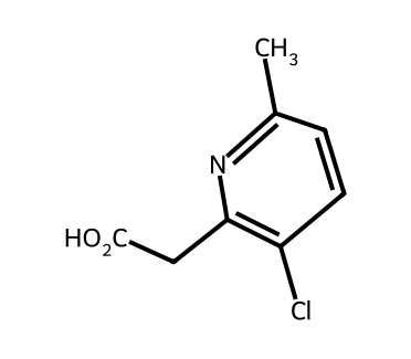 Cc1ccc(Cl)c(CC(=O)O)n1